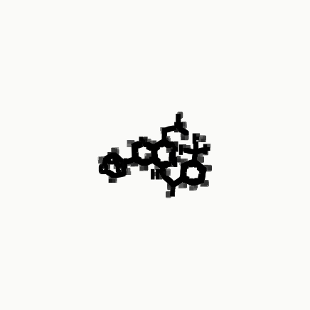 C[C@@H](Nc1nnc(CN(C)C)c2ncc(N3CC4CCCC3CO4)cc12)c1cccc(C(F)(F)F)c1